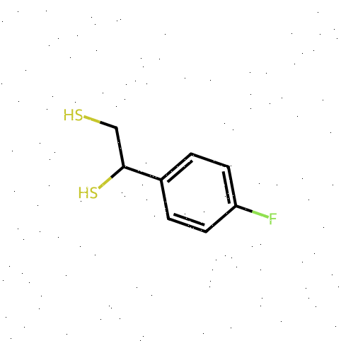 Fc1ccc(C(S)CS)cc1